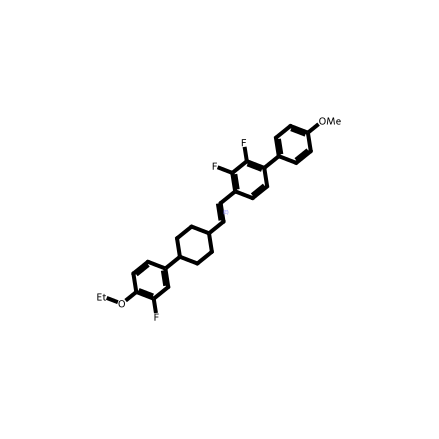 CCOc1ccc(C2CCC(/C=C/c3ccc(-c4ccc(OC)cc4)c(F)c3F)CC2)cc1F